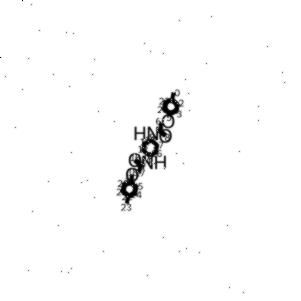 Cc1ccc(OCC(=O)N[C@H]2CC[C@H](NC(=O)COc3ccc(C)cc3)CC2)cc1